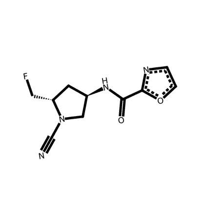 N#CN1C[C@H](NC(=O)c2ncco2)C[C@H]1CF